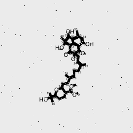 COC(OC)C1CCC(C(C)(C)O)OC1CC/C(C)=C/CC/C(C)=C/CC1(O)C(=O)c2c(O)cc(C)c3c(O)c(C)c(O)c(c23)C1=O